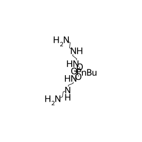 CCCCP(=O)(ONCCNCCN)ONCCNCCN